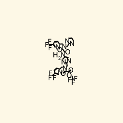 NC(=O)C(=O)N(Cc1ccc(C(F)(F)F)cn1)Cc1ncccn1.O=C(OCC(F)(F)F)C(=O)N(Cc1ccc(C(F)(F)F)cn1)Cc1ncccn1